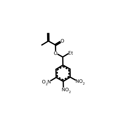 C=C(C)C(=O)OC(CC)c1cc([N+](=O)[O-])c([N+](=O)[O-])c([N+](=O)[O-])c1